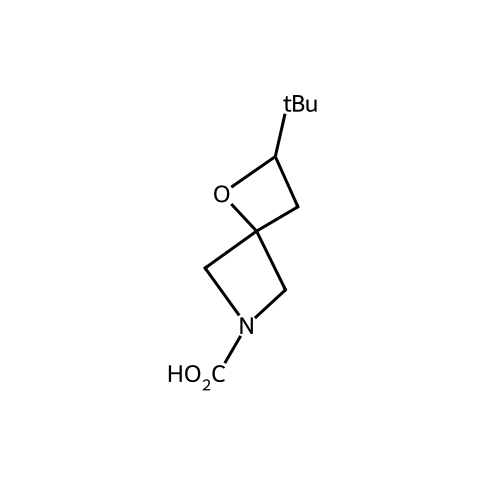 CC(C)(C)C1CC2(CN(C(=O)O)C2)O1